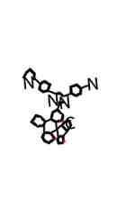 N#Cc1ccc(-c2cc(-c3ccc(-c4ccccn4)cc3)nc(-c3ccc4c(c3)-c3ccccc3-c3ccccc3C43c4ccccc4-c4ccccc43)n2)cc1